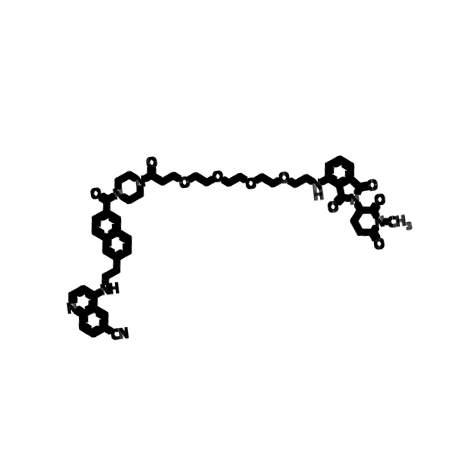 CN1C(=O)CCC(N2C(=O)c3cccc(NCCOCCOCCOCCOCCC(=O)N4CCN(C(=O)c5ccc6cc(CCNc7ccnc8ccc(C#N)cc78)ccc6c5)CC4)c3C2=O)C1=O